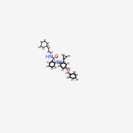 O=C(NCCCC1CCCCC1)c1ccccc1Nc1ccc(OCc2ccccc2)cc1C1CC1